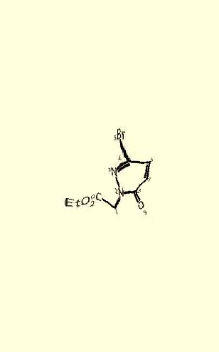 CCOC(=O)Cn1nc(Br)ccc1=O